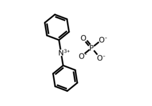 O=P([O-])([O-])[O-].c1ccc([N+3]c2ccccc2)cc1